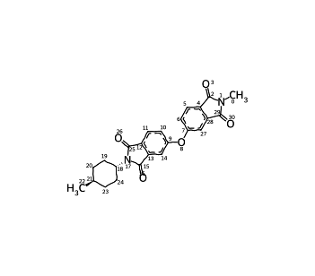 CN1C(=O)c2ccc(Oc3ccc4c(c3)C(=O)N([C@H]3CC[C@H](C)CC3)C4=O)cc2C1=O